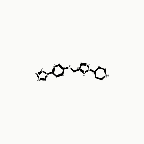 c1cc(-n2cnnn2)ncc1OCc1cnn(C2CCNCC2)n1